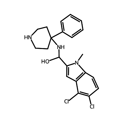 Cn1c(C(O)NC2(c3ccccc3)CCNCC2)cc2c(Cl)c(Cl)ccc21